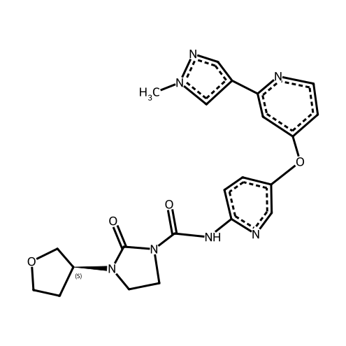 Cn1cc(-c2cc(Oc3ccc(NC(=O)N4CCN([C@H]5CCOC5)C4=O)nc3)ccn2)cn1